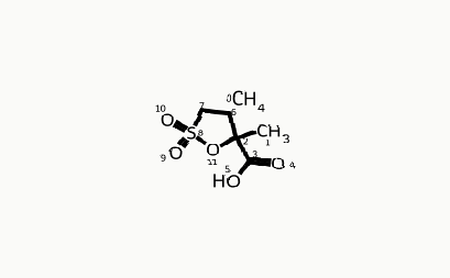 C.CC1(C(=O)O)CCS(=O)(=O)O1